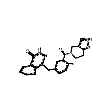 O=C(c1cc(Cc2n[nH]c(=O)c3ccccc23)ccc1F)N1CCc2n[nH]cc2C1